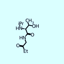 CCC(=O)CNC(=O)[C@@H](NC(C)C)C(C)O